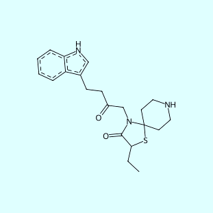 CCC1SC2(CCNCC2)N(CC(=O)CCc2c[nH]c3ccccc23)C1=O